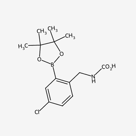 CC1(C)OB(c2cc(Cl)ccc2CNC(=O)O)OC1(C)C